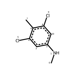 CNc1cc(Cl)c(C)c(Cl)c1